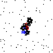 O=C[C@]1(C(=O)OCc2ccccc2)CCCN1C(=O)[C@@H]1CCCN1